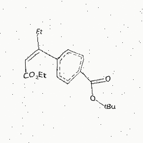 CCOC(=O)/C=C(/CC)c1ccc(C(=O)OC(C)(C)C)cc1